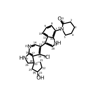 O=C1CCCCN1c1cccc2c(-c3cnc4c(c3Cl)[C@]3(CC[C@@H](O)C3)CN4)c[nH]c12